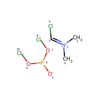 C[N+](C)=CCl.[O-]P(OCl)OCl